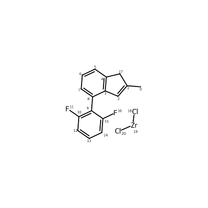 CC1=Cc2c(cccc2-c2c(F)cccc2F)C1.[Cl][Zr][Cl]